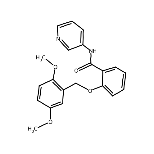 COc1ccc(OC)c(COc2ccccc2C(=O)Nc2cccnc2)c1